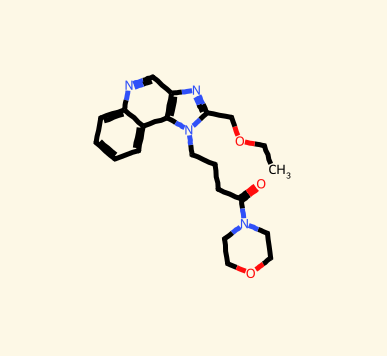 CCOCc1nc2cnc3ccccc3c2n1CCCC(=O)N1CCOCC1